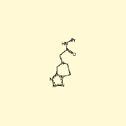 CC(C)NC(=O)CN1CCn2nnnc2C1